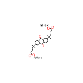 CCCCCCOC(=O)CCCC(C)(C)c1ccc2c(c1)C(=O)c1ccc(C(C)(C)CCCC(=O)OCCCCCC)cc1C2=O